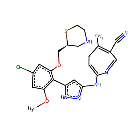 COc1cc(Cl)cc(OC[C@@H]2CNCCS2)c1-c1cc(NC2=CCC(C)=C(C#N)C=N2)n[nH]1